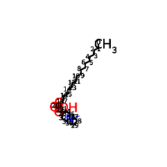 CCCCCCCCCCCCCCCCCCOP(=O)(O)OC1CC[N+]2(CCCC2)CC1